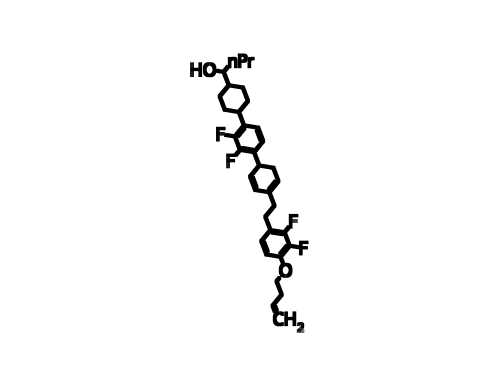 C=CCCOc1ccc(CCC2=CCC(c3ccc(C4CCC(C(O)CCC)CC4)c(F)c3F)C=C2)c(F)c1F